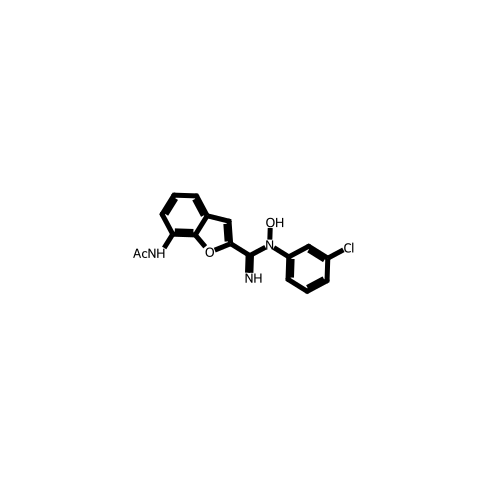 CC(=O)Nc1cccc2cc(C(=N)N(O)c3cccc(Cl)c3)oc12